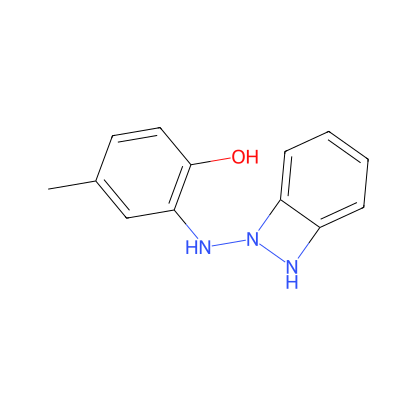 Cc1ccc(O)c(Nn2[nH]c3ccccc32)c1